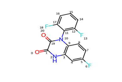 O=c1[nH]c2cc(F)ccc2n(-c2c(F)cccc2F)c1=O